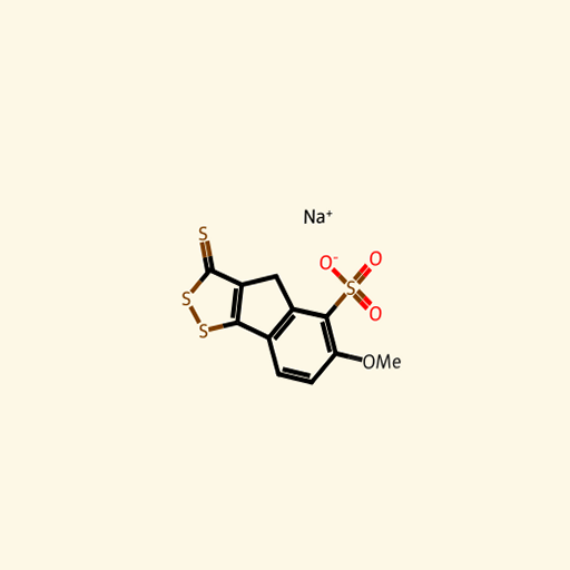 COc1ccc2c(c1S(=O)(=O)[O-])Cc1c-2ssc1=S.[Na+]